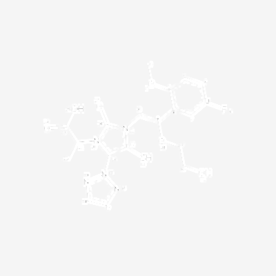 COc1ccc(F)cc1[C@@H](Cn1c(S)c(-n2nccn2)n(C(C)C(=O)O)c1=O)OCCO